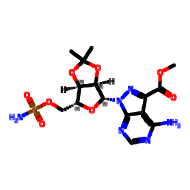 COC(=O)c1nn([C@@H]2O[C@H](COS(N)(=O)=O)[C@H]3OC(C)(C)O[C@H]32)c2ncnc(N)c12